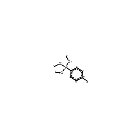 CO[Si](OC)(OC)c1ccc(C)cc1